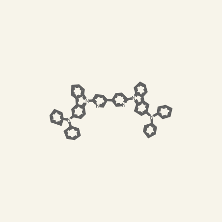 c1ccc(N(c2ccccc2)c2ccc3c(c2)c2ccccc2n3-c2ccc(-c3ccc(-n4c5ccccc5c5cc(N(c6ccccc6)c6ccccc6)ccc54)nc3)cn2)cc1